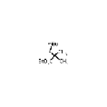 CCOC(=O)C(C)(C)S[C@H](C)CC